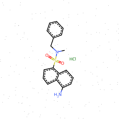 CN(Cc1ccccc1)S(=O)(=O)c1cccc2c(N)cccc12.Cl